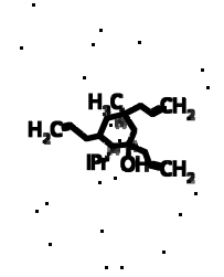 C=CCC1C[C@](C)(CC=C)C[C@](O)(CC=C)[C@@H]1C(C)C